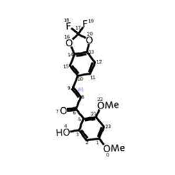 COc1cc(O)c(C(=O)/C=C/c2ccc3c(c2)OC(F)(F)O3)c(OC)c1